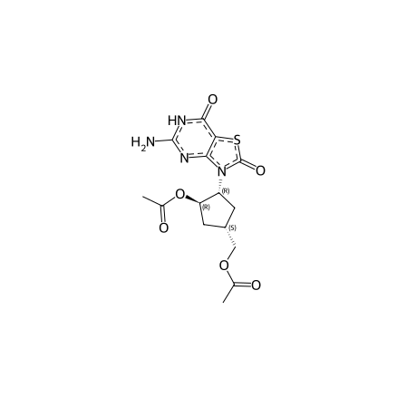 CC(=O)OC[C@H]1C[C@@H](n2c(=O)sc3c(=O)[nH]c(N)nc32)[C@H](OC(C)=O)C1